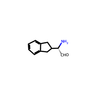 N[C@H](C=O)C1Cc2ccccc2C1